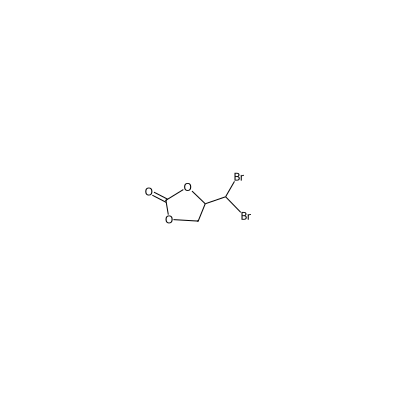 O=C1OCC(C(Br)Br)O1